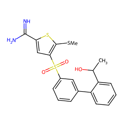 CSc1sc(C(=N)N)cc1S(=O)(=O)c1cccc(-c2ccccc2C(C)O)c1